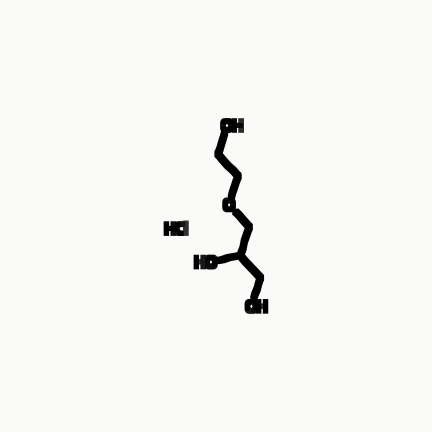 Cl.OCCOCC(O)CO